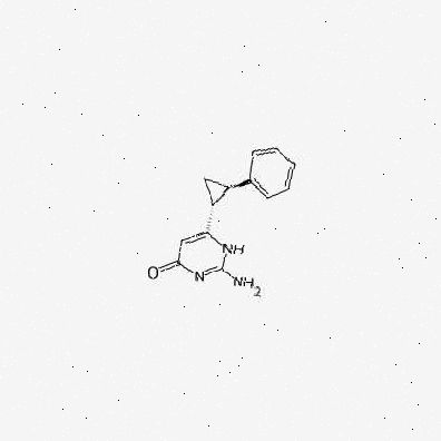 Nc1nc(=O)cc([C@@H]2C[C@H]2c2ccccc2)[nH]1